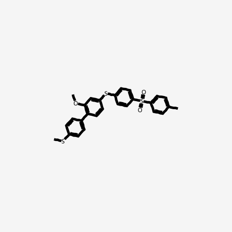 COc1cc(Sc2ccc(S(=O)(=O)c3ccc(C)cc3)cc2)ccc1-c1ccc(SC)cc1